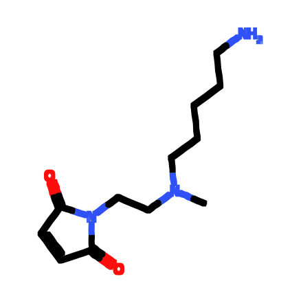 CN(CCCCCN)CCN1C(=O)C=CC1=O